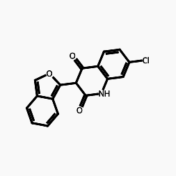 O=C1Nc2cc(Cl)ccc2C(=O)C1c1occ2ccccc12